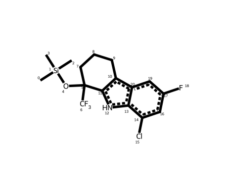 C[Si](C)(C)OC1(C(F)(F)F)CCCc2c1[nH]c1c(Cl)cc(F)cc21